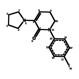 O=C1C(N2CCCC2)=CCCN1c1ccc(I)cc1